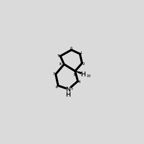 C1CC[C@@H]2CNCCC2C1